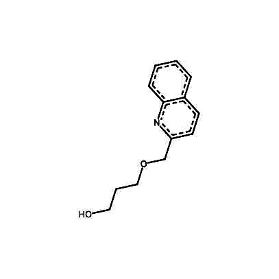 OCCCOCc1ccc2ccccc2n1